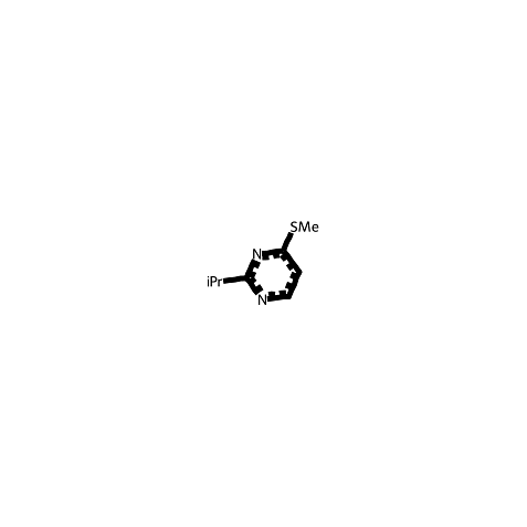 CSc1ccnc(C(C)C)n1